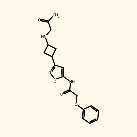 CC(=O)CNC1CC(c2cc(NC(=O)COc3ccccc3)[nH]n2)C1